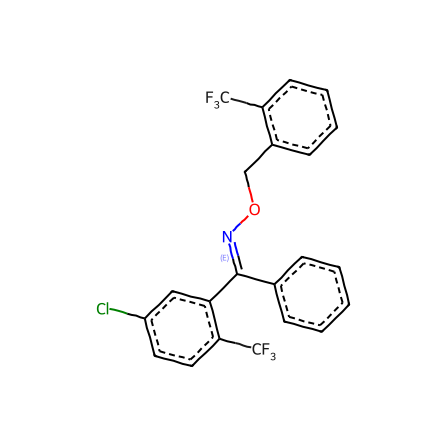 FC(F)(F)c1ccccc1CO/N=C(\c1ccccc1)c1cc(Cl)ccc1C(F)(F)F